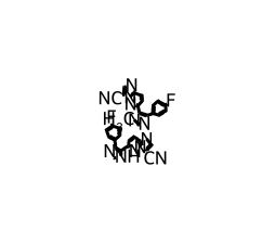 Cn1cnc(-c2ccc(F)cc2)c1-c1ccc2ncc(C#N)n2n1.N#Cc1cnc2ccc(-c3[nH]cnc3-c3ccc(F)cc3)nn12